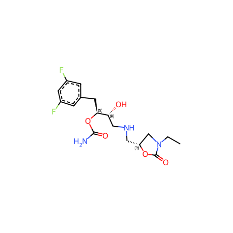 CCN1C[C@@H](CNC[C@@H](O)[C@H](Cc2cc(F)cc(F)c2)OC(N)=O)OC1=O